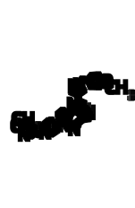 COc1ccc(Cn2cc(-c3cn4ncc(C#N)c4c(-c4ccc(N5CCN(Cc6ccc(OC)nc6)CC5)nc4)n3)cn2)cc1